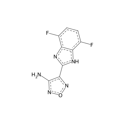 Nc1nonc1-c1nc2c(F)ccc(F)c2[nH]1